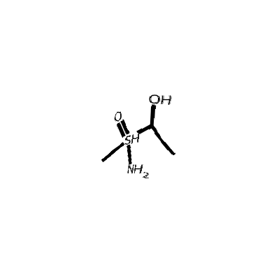 CC(O)[SH](C)(N)=O